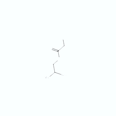 CCCC(COC(=O)CC(=O)O)[N+](=O)[O-]